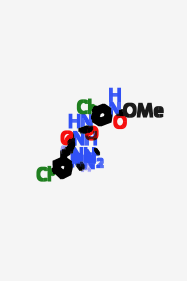 C=N/N=C\N(N)c1ccc(Cl)cc1/C=C/C(=O)NCC(=O)Nc1ccc(NC(=O)OC)cc1Cl